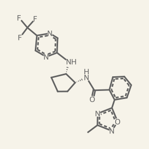 Cc1noc(-c2ccccc2C(=O)N[C@@H]2CCC[C@@H]2Nc2cnc(C(F)(F)F)cn2)n1